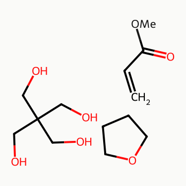 C1CCOC1.C=CC(=O)OC.OCC(CO)(CO)CO